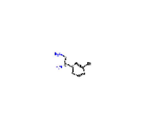 CCc1cccc([C@H](N)CN)c1